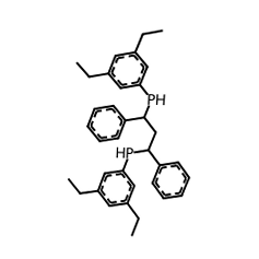 CCc1cc(CC)cc(PC(CC(Pc2cc(CC)cc(CC)c2)c2ccccc2)c2ccccc2)c1